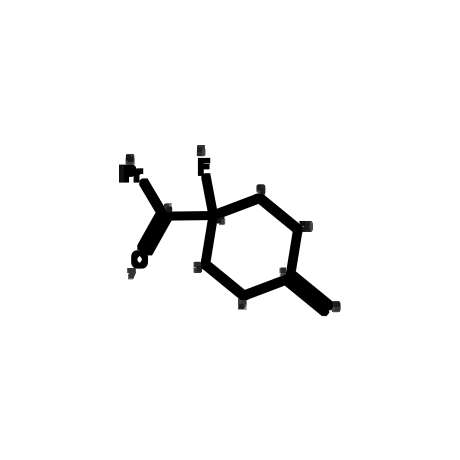 C=C1CCC(F)(C(=O)C(C)C)CC1